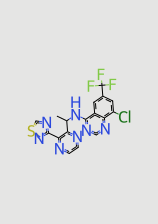 CC(Nc1ncnc2c(Cl)cc(C(F)(F)F)cc12)c1nccnc1-c1ncsn1